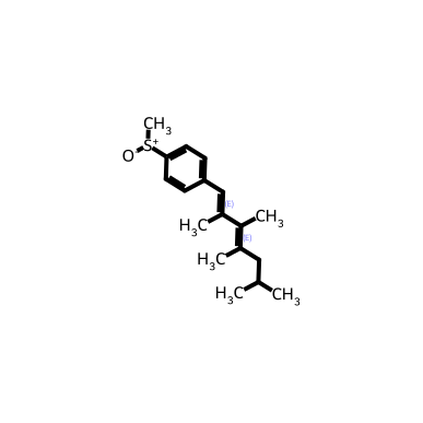 CC(=C\c1ccc([S+](C)[O-])cc1)/C(C)=C(\C)CC(C)C